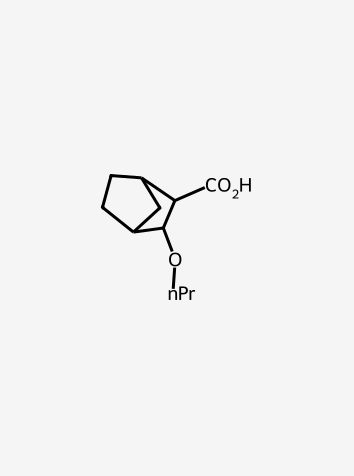 CCCOC1C2CCC(C2)C1C(=O)O